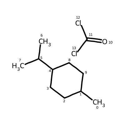 CC1CCC(C(C)C)CC1.O=C(Cl)Cl